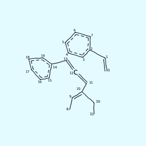 C=Cc1ccccc1.CC=C(C=C=Cc1ccccc1)CC